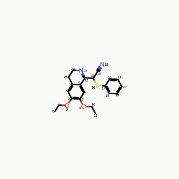 CCOc1cc2c(cc1OCC)C(C(C#N)Sc1ccccc1)=NCC2